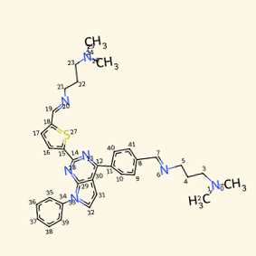 CN(C)CCCN=Cc1ccc(-c2nc(-c3ccc(C=NCCCN(C)C)s3)nc3c2ccn3-c2ccccc2)cc1